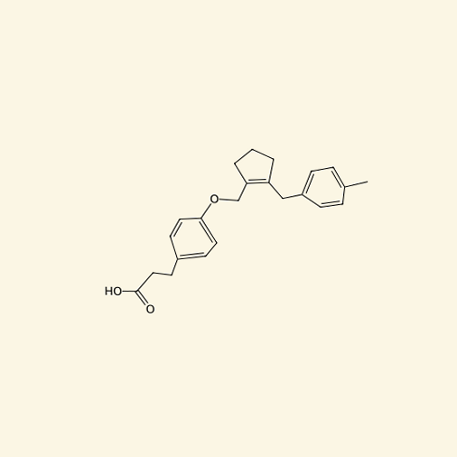 Cc1ccc(CC2=C(COc3ccc(CCC(=O)O)cc3)CCC2)cc1